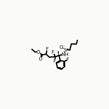 CCCC[S@@+]([O-])N[C@](C)(c1ccccc1F)C(F)(F)CC(F)C(=O)OCC